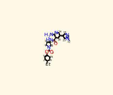 CCc1ccc(OC(=O)N2CC[C@@H](NC(=O)c3cc(-c4cnn(C)c4)cnc3N)C2)cc1